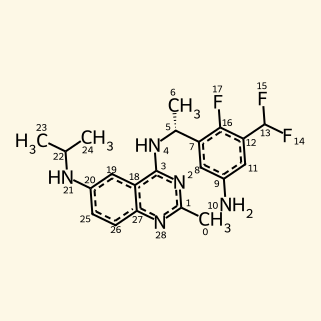 Cc1nc(N[C@H](C)c2cc(N)cc(C(F)F)c2F)c2cc(NC(C)C)ccc2n1